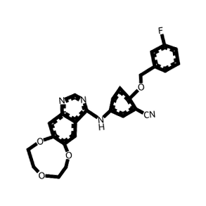 N#Cc1cc(Nc2ncnc3cc4c(cc23)OCCOCCO4)ccc1OCc1cccc(F)c1